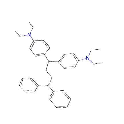 CCN(CC)c1ccc(C(CCC(c2ccccc2)c2ccccc2)c2ccc(N(CC)CC)cc2)cc1